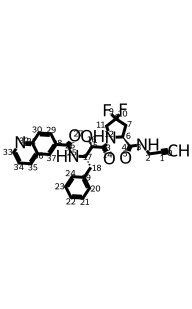 C#CCNC(=O)[C@@H]1CC(F)(F)CN1C(=O)[C@@H](O)[C@H](Cc1ccccc1)NC(=O)c1ccc2ncccc2c1